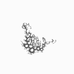 COCCN1CCc2c(cc(-c3cccc(-c4cccc(-c5cc6c(c(OC)c5)[C@@H](N5CC(C(C)=O)C5)CC6)c4Cl)c3Cl)nc2OC)C1